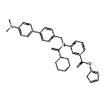 C=C(NC1=NC=CC1)c1cccc(N(Cc2ccc(-c3ccc(N(C)C)cc3)cc2)C(=C)C2CCCCC2)c1